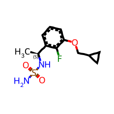 C[C@H](NS(N)(=O)=O)c1cccc(OCC2CC2)c1F